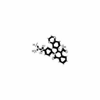 CN(C)S(=O)(=O)c1ccc(N2C(=O)c3ccccc3C(C(=O)O)C2c2ccc3c(c2)OCCO3)cc1